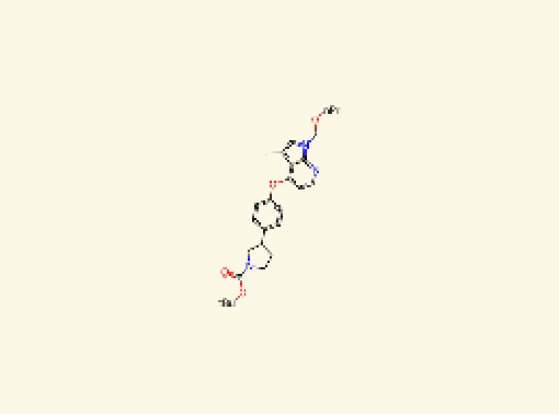 CCCOCn1cc(C)c2c(Oc3ccc(C4CCN(C(=O)OC(C)(C)C)C4)cc3)ccnc21